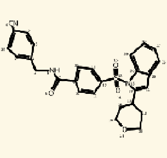 N#Cc1ccc(CNC(=O)c2ccc(S(=O)(=O)n3c(C4CCOCC4)cc4ccccc43)cc2)cc1